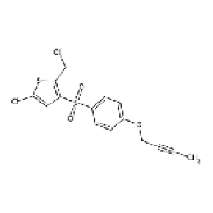 CC#CCOc1ccc(S(=O)(=O)c2cc(Cl)sc2CCl)cc1